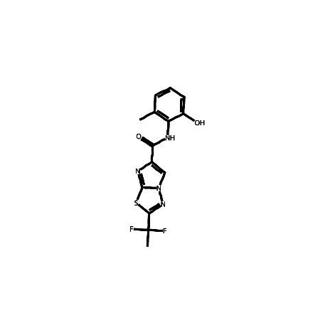 Cc1cccc(O)c1NC(=O)c1cn2nc(C(C)(F)F)sc2n1